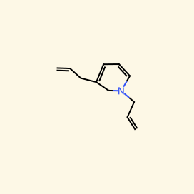 C=CCC1=CC=CN(CC=C)C1